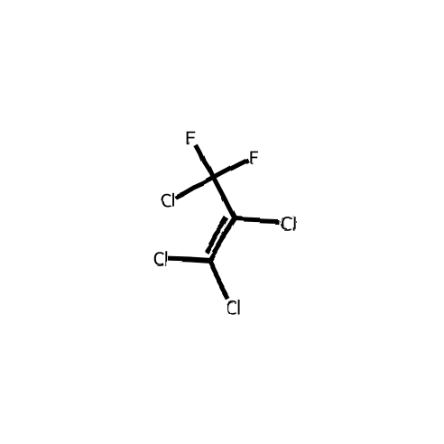 FC(F)(Cl)C(Cl)=C(Cl)Cl